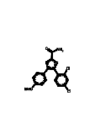 COc1ccc(-c2cc(C(N)=O)sc2-c2ccc(Cl)cc2Cl)cc1